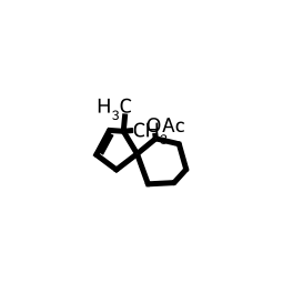 CC(=O)OC1CCCCC12CC=CC2(C)C